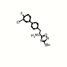 CC(C)(C)c1noc([C@H](N)Cc2ccc(-c3ccc(F)c(Cl)c3)cc2)n1